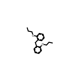 CCCOc1ccccc1[CH]c1ccccc1OCCC